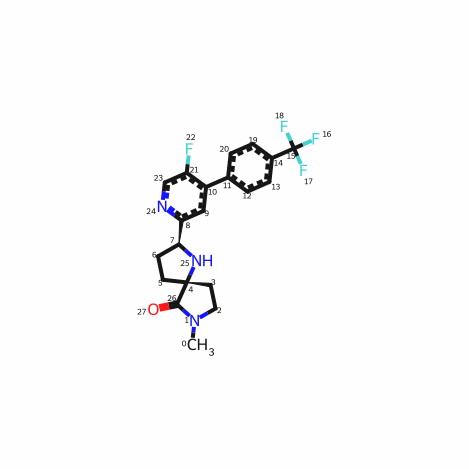 CN1CC[C@]2(CC[C@@H](c3cc(-c4ccc(C(F)(F)F)cc4)c(F)cn3)N2)C1=O